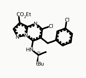 CCOC(=O)c1cnn2c(N[C@@H](C)C(C)(C)C)c(Cc3cccc(Cl)c3)c(Cl)nc12